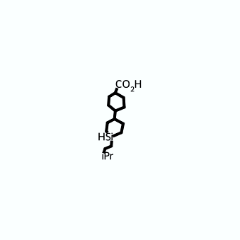 CC(C)CC[SiH]1CCC(C2CCC(C(=O)O)CC2)CC1